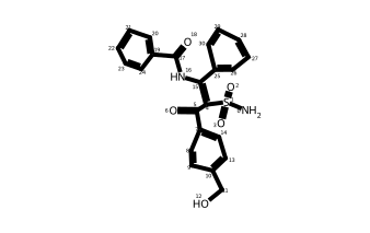 NS(=O)(=O)C(C(=O)c1ccc(CO)cc1)=C(NC(=O)c1ccccc1)c1ccccc1